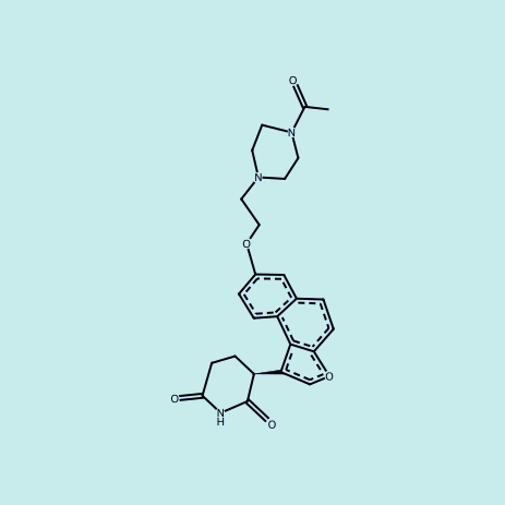 CC(=O)N1CCN(CCOc2ccc3c(ccc4occ([C@@H]5CCC(=O)NC5=O)c43)c2)CC1